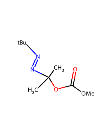 COC(=O)OC(C)(C)/N=N/C(C)(C)C